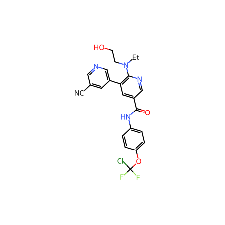 CCN(CCO)c1ncc(C(=O)Nc2ccc(OC(F)(F)Cl)cc2)cc1-c1cncc(C#N)c1